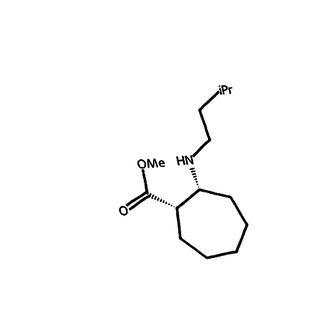 COC(=O)[C@H]1CCCCC[C@H]1NCCC(C)C